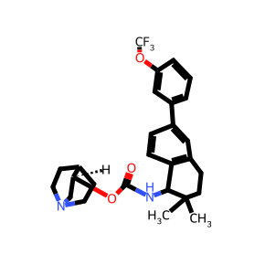 CC1(C)CCc2cc(-c3cccc(OC(F)(F)F)c3)ccc2C1NC(=O)O[C@H]1CN2CCC1CC2